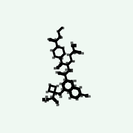 CCOC(=O)N1CCN(C(=O)C(CCC(=O)O)NC(=O)c2cc(OC3(C(N)=O)CCC3)c3ccc(Cl)cc3n2)CC1